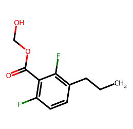 CCCc1ccc(F)c(C(=O)OCO)c1F